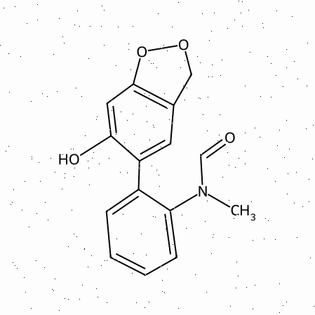 CN(C=O)c1ccccc1-c1cc2c(cc1O)OOC2